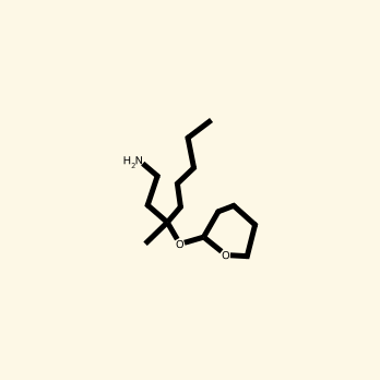 CCCCCC(C)(CCN)OC1CCCCO1